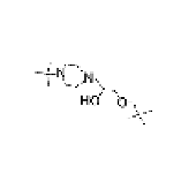 CC(C)(C)COC[C@@H](O)CN1CCN(C(C)(C)C)CC1